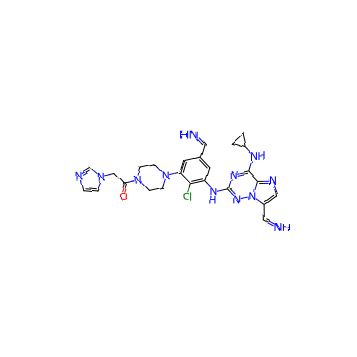 N=Cc1cc(Nc2nc(NC3CC3)c3ncc(C=N)n3n2)c(Cl)c(N2CCN(C(=O)Cn3ccnc3)CC2)c1